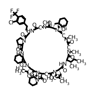 CC[C@H](C)[C@@H]1NC(=O)[C@H](CC(C)C)N(C)C(=O)C[C@@H](C(=O)N2CCCCC2)N(C)C(=O)[C@H](C(C)C)N(C)C(=O)C2(CCCCC2)NC(=O)[C@@H]2CCCN2C(=O)[C@H](CCc2ccc(C(F)(F)F)c(Cl)c2)NC(=O)CN(C)C(=O)[C@H](CC2CCCCC2)N(C)C(=O)CN(C)C(=O)CN(C)C1=O